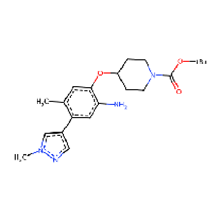 Cc1cc(OC2CCN(C(=O)OC(C)(C)C)CC2)c(N)cc1-c1cnn(C)c1